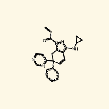 C=CC(=O)n1nc(NC2CC2)c2c1CC(c1ccccc1)(c1ccncn1)C=C2